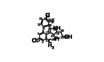 Cc1cc(Cl)ccc1C1C(c2cccc(Cl)c2F)NC(CCO)C1C(C)C